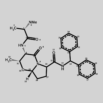 CN[C@@H](C)C(=O)N[C@@H]1C(=O)N2C(C(=O)NC(c3ccccc3)c3ccccc3)CC[C@@H]2O[C@@H]1C